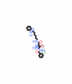 O=C(Nc1[nH]nc(C(=O)NCCCCCc2nc3ccccc3[nH]2)c1Br)c1ccccc1Cl